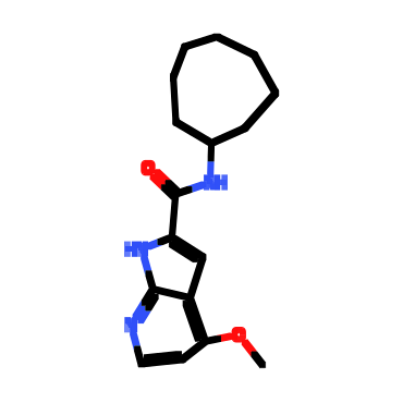 COc1ccnc2[nH]c(C(=O)NC3CCCCCCC3)cc12